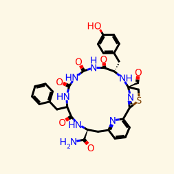 NC(=O)[C@@H]1Cc2cccc(n2)C2=N[C@@](C=O)(CS2)N[C@@H](Cc2ccc(O)cc2)C(=O)NC(=O)NC(=O)NC(Cc2ccccc2)C(=O)N1